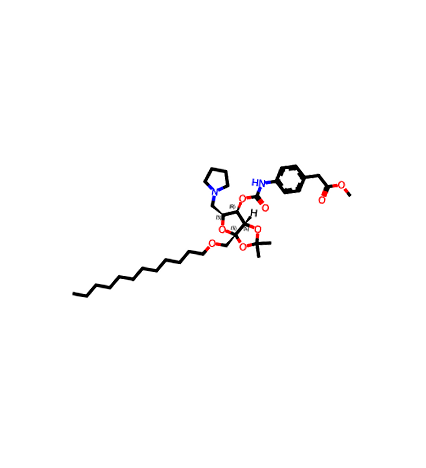 CCCCCCCCCCCCOC[C@@]12O[C@@H](CN3CCCC3)[C@@H](OC(=O)Nc3ccc(CC(=O)OC)cc3)[C@@H]1OC(C)(C)O2